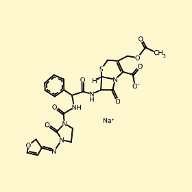 CC(=O)OCC1=C(C(=O)[O-])N2C(=O)C(NC(=O)C(NC(=O)N3CCN(N=C4C=COC4)C3=O)c3ccccc3)[C@@H]2SC1.[Na+]